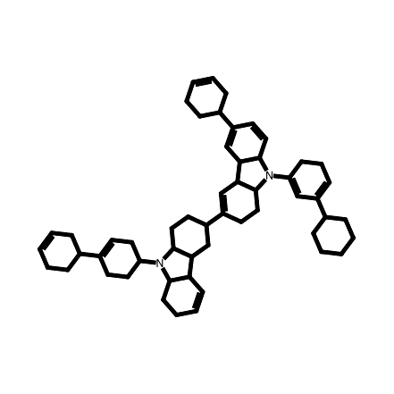 C1=CCC(C2=CC3C4C=C(C5CCC6C(C5)C5C=CCCC5N6C5CC=C(C6CC=CCC6)CC5)CCC4N(C4=CC(C5CCCCC5)=CCC4)C3C=C2)CC1